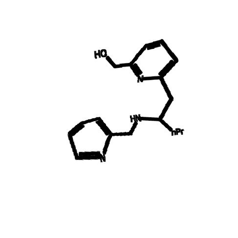 CCCC(Cc1cccc(CO)n1)NCc1ccccn1